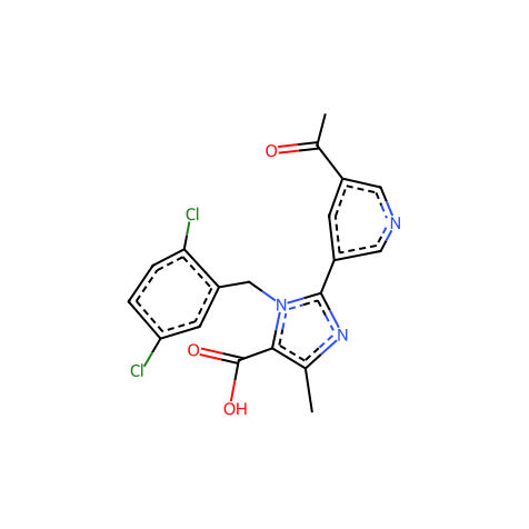 CC(=O)c1cncc(-c2nc(C)c(C(=O)O)n2Cc2cc(Cl)ccc2Cl)c1